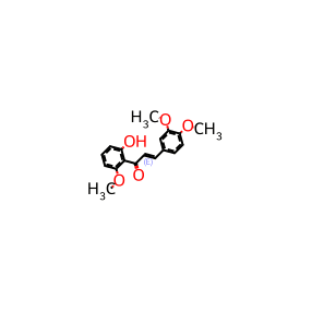 COc1ccc(/C=C/C(=O)c2c(O)cccc2OC)cc1OC